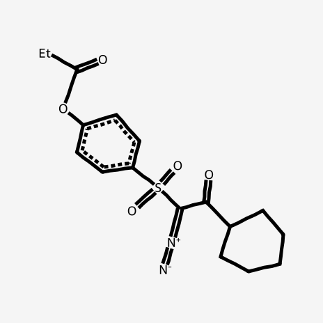 CCC(=O)Oc1ccc(S(=O)(=O)C(=[N+]=[N-])C(=O)C2CCCCC2)cc1